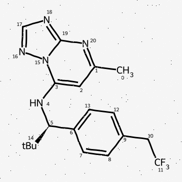 Cc1cc(N[C@@H](c2ccc(CC(F)(F)F)cc2)C(C)(C)C)n2ncnc2n1